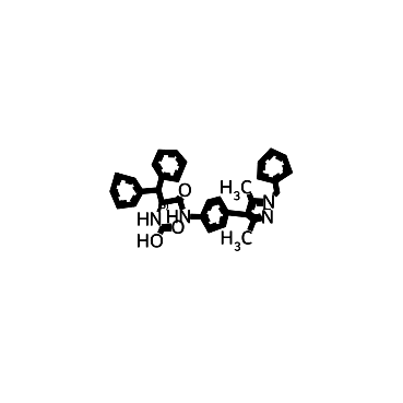 Cc1nn(Cc2ccccc2)c(C)c1-c1ccc(NC(=O)[C@@H](NC(=O)O)C(c2ccccc2)c2ccccc2)cc1